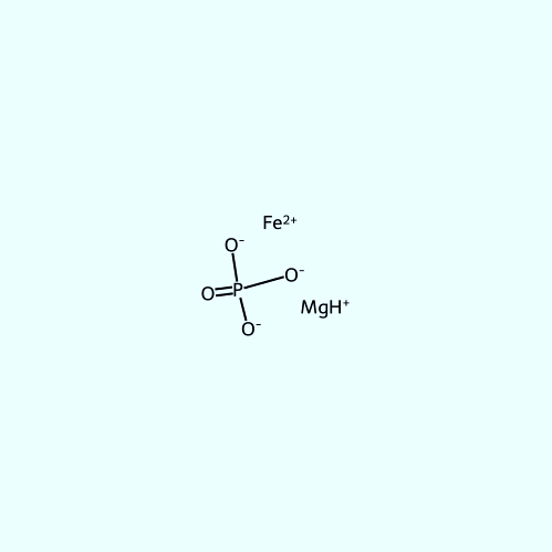 O=P([O-])([O-])[O-].[Fe+2].[MgH+]